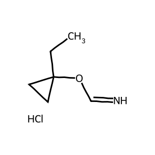 CCC1(OC=N)CC1.Cl